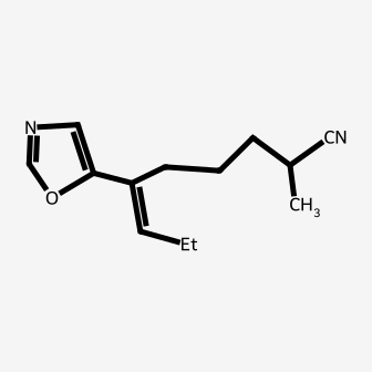 CC/C=C(\CCCC(C)C#N)c1cnco1